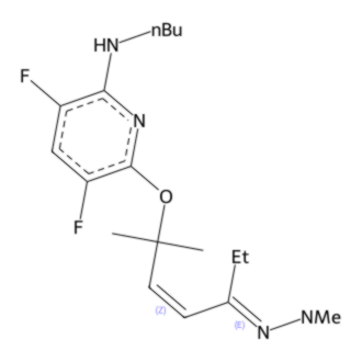 CCCCNc1nc(OC(C)(C)/C=C\C(CC)=N\NC)c(F)cc1F